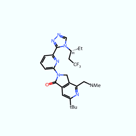 CC[C@H](CC(F)(F)F)n1cnnc1-c1cccc(N2Cc3c(cc(C(C)(C)C)nc3CNC)C2=O)n1